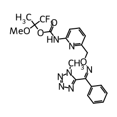 COC(C)(OC(=O)Nc1cccc(CO/N=C(/c2ccccc2)c2nnnn2C)n1)C(F)(F)F